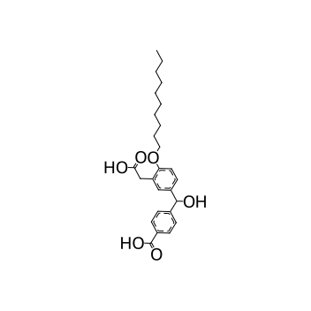 CCCCCCCCCCOc1ccc(C(O)c2ccc(C(=O)O)cc2)cc1CC(=O)O